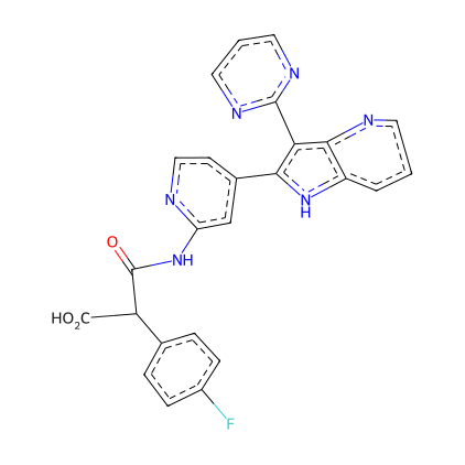 O=C(O)C(C(=O)Nc1cc(-c2[nH]c3cccnc3c2-c2ncccn2)ccn1)c1ccc(F)cc1